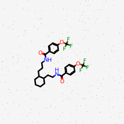 O=C(NCCCC1CCCCC1CCNC(=O)c1ccc(OC(F)(F)F)cc1)c1ccc(OC(F)(F)F)cc1